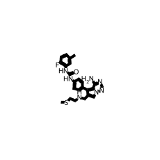 CSCCNCc1cn2ncnc(N)c2c1-c1ccc(NC(=O)Nc2cc(C)ccc2F)cc1